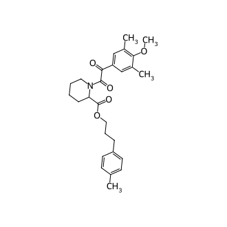 COc1c(C)cc(C(=O)C(=O)N2CCCCC2C(=O)OCCCc2ccc(C)cc2)cc1C